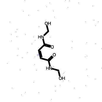 O=C(/C=C\C(=O)NCO)NCO